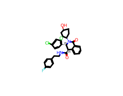 O=C(NCCc1ccc(F)cc1)[C@@H]1c2ccccc2C(=O)N([C@H]2CC[C@H](O)CC2)[C@H]1c1ccc(Cl)cc1Cl